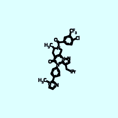 CC(C)Cc1cnn2c3c(c(=O)n(-c4ccc(-c5nccn5C)cc4)c12)CC(C)N(C(=O)c1ccc(Cl)c(C(F)(F)F)c1)C3